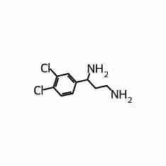 NCCC(N)c1ccc(Cl)c(Cl)c1